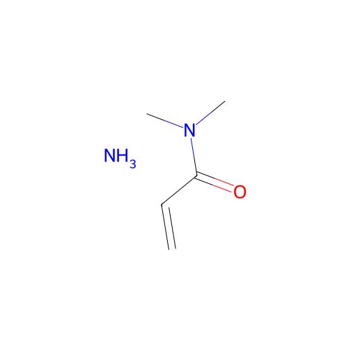 C=CC(=O)N(C)C.N